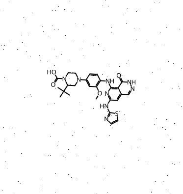 COc1cc(N2CCN(C(=O)O)C(C(C)(C)C)C2)ccc1Nc1nc(Nc2nccs2)cc2cn[nH]c(=O)c12